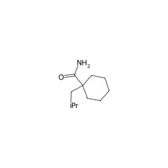 CC(C)CC1(C(N)=O)CCCCC1